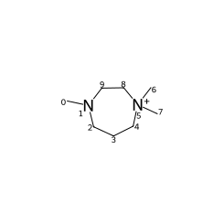 CN1CCC[N+](C)(C)CC1